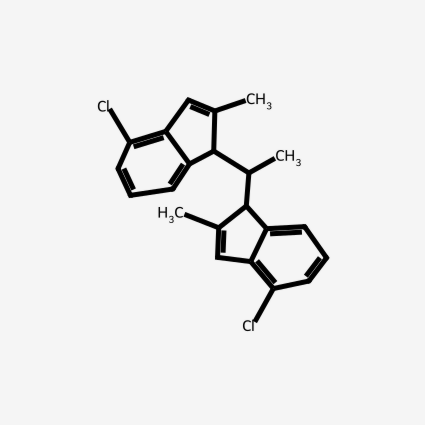 CC1=Cc2c(Cl)cccc2C1C(C)C1C(C)=Cc2c(Cl)cccc21